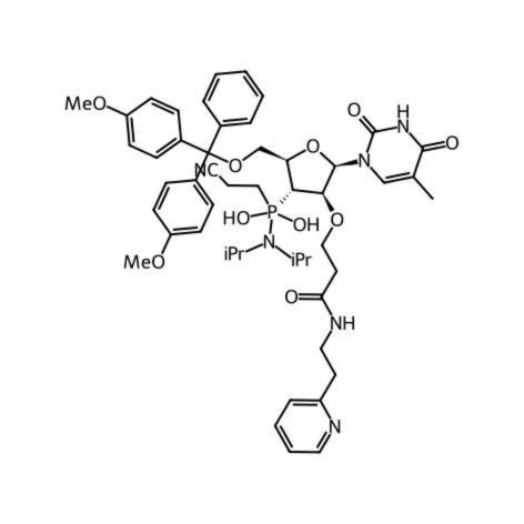 COc1ccc(C(OC[C@H]2O[C@@H](n3cc(C)c(=O)[nH]c3=O)[C@@H](OCCC(=O)NCCc3ccccn3)[C@@H]2P(O)(O)(CCC#N)N(C(C)C)C(C)C)(c2ccccc2)c2ccc(OC)cc2)cc1